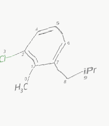 Cc1c(Cl)cccc1CC(C)C